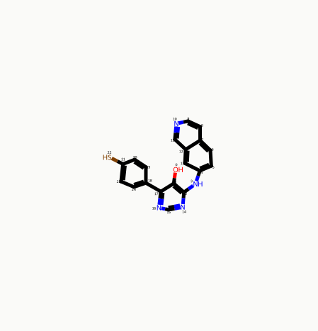 Oc1c(Nc2ccc3ccncc3c2)ncnc1-c1ccc(S)cc1